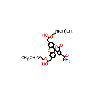 CN(O)CCOC(O)Cc1ccc2c(c1)Oc1cc(CC(O)OCCN(C)O)ccc1C21OC(=O)c2cc(C(N)=O)ccc21